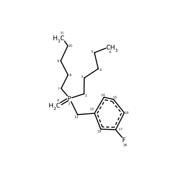 C=P(CCCCC)(CCCCC)Cc1cccc(F)c1